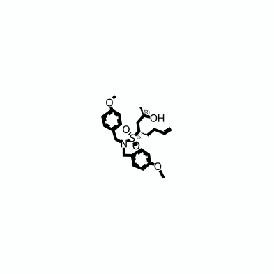 C=CCC[C@@H](C[C@@H](C)O)S(=O)(=O)N(Cc1ccc(OC)cc1)Cc1ccc(OC)cc1